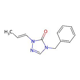 C/C=C/n1ncn(Cc2ccccc2)c1=O